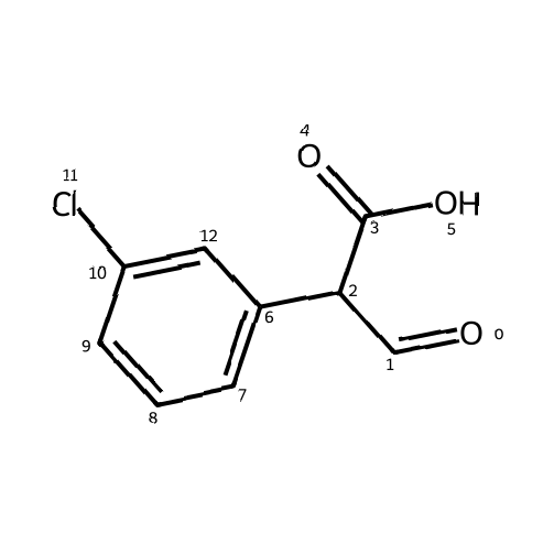 O=CC(C(=O)O)c1cccc(Cl)c1